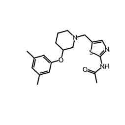 CC(=O)Nc1ncc(CN2CCCC(Oc3cc(C)cc(C)c3)C2)s1